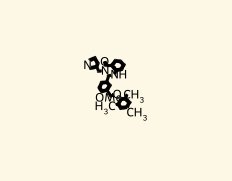 COc1ccc(C2Nc3ccccc3C(=O)N2Cc2cccnc2)cc1COc1c(C)cc(C)cc1C